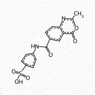 Cc1nc2ccc(C(=O)Nc3ccc(S(=O)(=O)O)cc3)cc2c(=O)o1